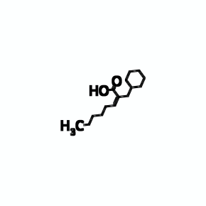 CCCCCC=C(CC1CCCCC1)C(=O)O